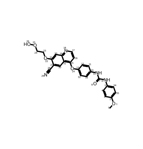 COc1ccc(NC(=O)Nc2ccc(Oc3ccnc4cc(OCCOO)c(C#N)cc34)cc2)cc1